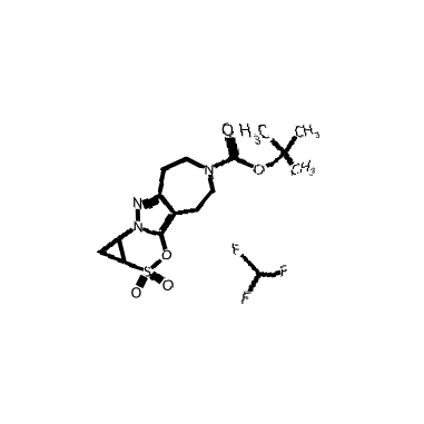 CC(C)(C)OC(=O)N1CCc2nn3c(c2CC1)OS(=O)(=O)C1CC13.FC(F)F